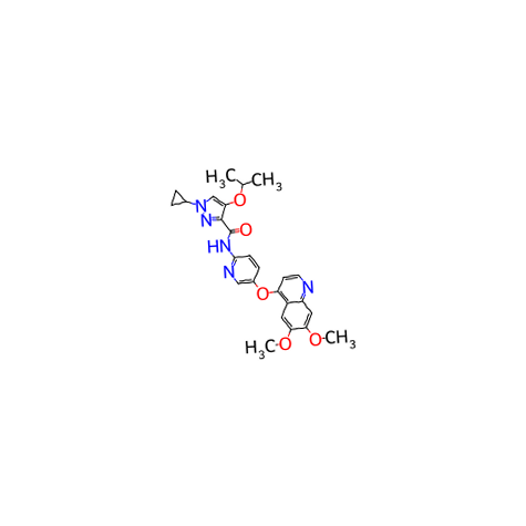 COc1cc2nccc(Oc3ccc(NC(=O)c4nn(C5CC5)cc4OC(C)C)nc3)c2cc1OC